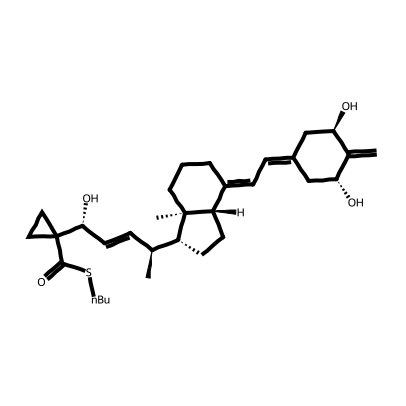 C=C1[C@H](O)CC(=C/C=C2\CCC[C@]3(C)[C@@H]([C@@H](C)/C=C/[C@@H](O)C4(C(=O)SCCCC)CC4)CC[C@@H]23)C[C@H]1O